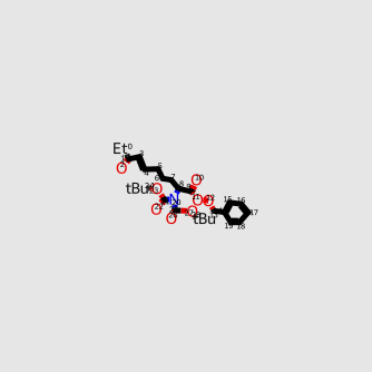 CCC(=O)C=CCCCC(C(=O)OOCc1ccccc1)N(C(=O)OC(C)(C)C)C(=O)OC(C)(C)C